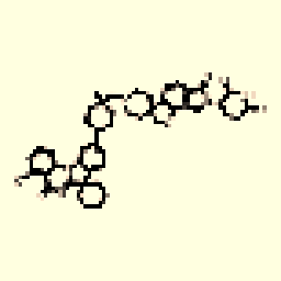 CC1(CN2CCC3(CC2)COc2c3ccc3c2CN([C@H]2CCC(=O)NC2=O)C3=O)CCC(c2ccc3c(c2)-n2c(nc(=O)c4c(Cl)cccc42)C32CCCCC2)CC1